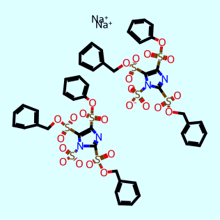 O=S(=O)(Oc1ccccc1)c1nc(S(=O)(=O)OCc2ccccc2)n(S(=O)(=O)[O-])c1S(=O)(=O)OCc1ccccc1.O=S(=O)(Oc1ccccc1)c1nc(S(=O)(=O)OCc2ccccc2)n(S(=O)(=O)[O-])c1S(=O)(=O)OCc1ccccc1.[Na+].[Na+]